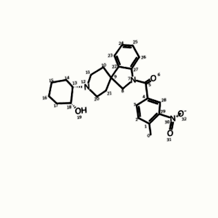 Cc1ccc(C(=O)N2CC3(CCN([C@H]4CCCC[C@H]4O)CC3)c3ccccc32)cc1[N+](=O)[O-]